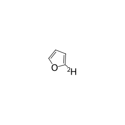 [2H]c1ccco1